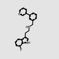 Fc1cccc2c(CCNCc3cccc(-c4cccnc4)c3)c[nH]c12